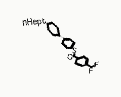 CCCCCCC[C@H]1CC[C@H](c2ccc(SC(=O)c3ccc(C(F)F)cc3)cc2)CC1